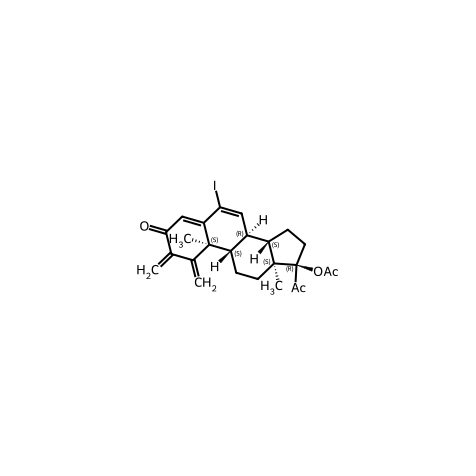 C=C1C(=C)[C@@]2(C)C(=CC1=O)C(I)=C[C@@H]1[C@@H]2CC[C@@]2(C)[C@H]1CC[C@]2(OC(C)=O)C(C)=O